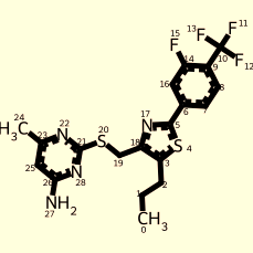 CCCc1sc(-c2ccc(C(F)(F)F)c(F)c2)nc1CSc1nc(C)cc(N)n1